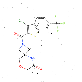 O=C1COCC2(CN(C(=O)c3sc4cc(C(F)(F)F)ccc4c3Cl)C2)N1